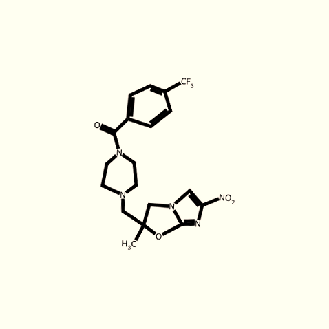 CC1(CN2CCN(C(=O)c3ccc(C(F)(F)F)cc3)CC2)Cn2cc([N+](=O)[O-])nc2O1